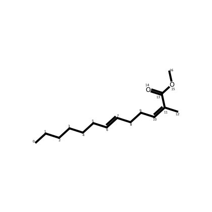 CCCCCCC=CCCC=C(C)C(=O)OC